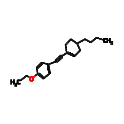 CCCCC1CC=C(C#Cc2ccc(OCC)cc2)CC1